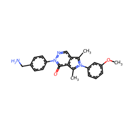 COc1cccc(-n2c(C)c3cnn(-c4ccc(CN)cc4)c(=O)c3c2C)c1